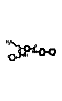 NCCCOc1ccc(C(=O)Nc2ccc(-c3ccccc3)cc2)cc1NC(=O)CN1CCOCC1